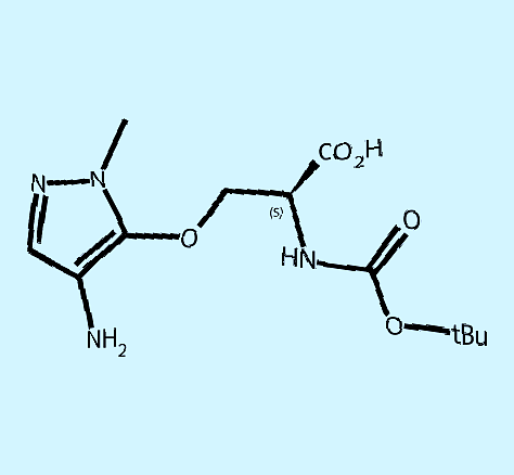 Cn1ncc(N)c1OC[C@H](NC(=O)OC(C)(C)C)C(=O)O